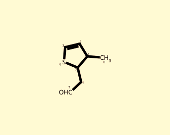 CC1C=CSC1CC=O